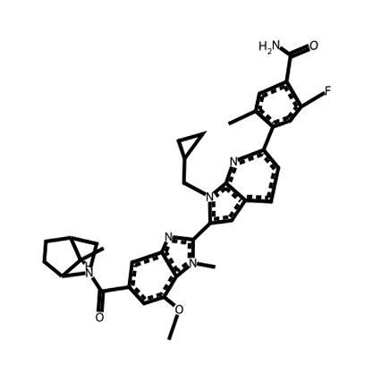 COc1cc(C(=O)N2CC3CCC2[C@@H]3C)cc2nc(-c3cc4ccc(-c5cc(F)c(C(N)=O)cc5C)nc4n3CC3CC3)n(C)c12